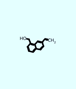 C=Cc1ccc2cccc(CO)c2c1